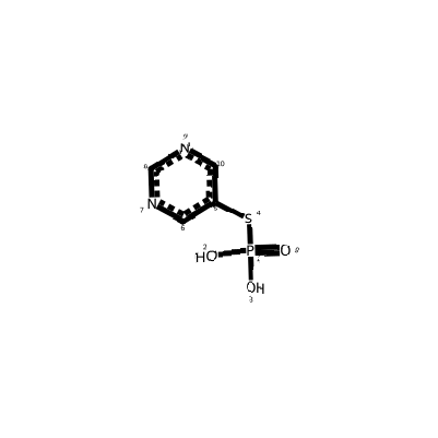 O=P(O)(O)Sc1cncnc1